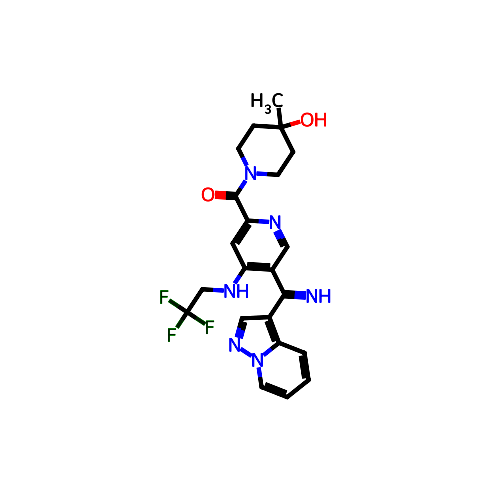 CC1(O)CCN(C(=O)c2cc(NCC(F)(F)F)c(C(=N)c3cnn4ccccc34)cn2)CC1